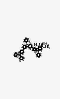 CC(C)(C)c1ccc2c(c1)c1cc(-c3ccc4c(c3)c3cc(-c5ccc(N(c6ccccc6)c6ccccc6)cc5)ccc3n4-c3ccccc3)ccc1n2-c1ccccc1